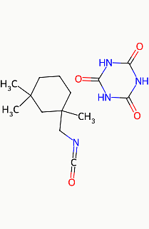 CC1(C)CCCC(C)(CN=C=O)C1.O=c1[nH]c(=O)[nH]c(=O)[nH]1